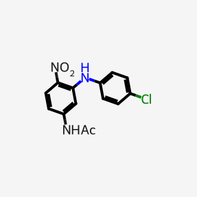 CC(=O)Nc1ccc([N+](=O)[O-])c(Nc2ccc(Cl)cc2)c1